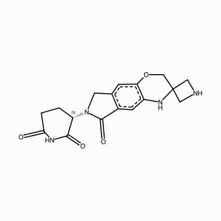 O=C1CC[C@H](N2Cc3cc4c(cc3C2=O)NC2(CNC2)CO4)C(=O)N1